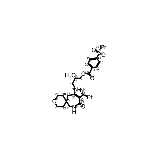 CCc1nn(C[C@@H](C)COC(=O)c2ccc(S(=O)(=O)C(C)C)cc2)c2c1C(=O)NCC1(CCOCC1)C2